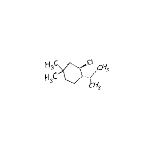 CC(C)[C@@H]1CCC(C)(C)C[C@H]1Cl